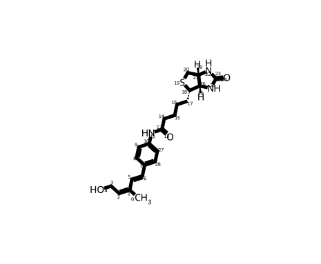 CC(=C/CO)/C=C/c1ccc(NC(=O)CCCC[C@@H]2SC[C@@H]3NC(=O)N[C@@H]32)cc1